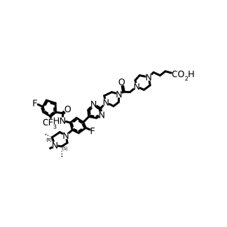 C[C@@H]1CN(c2cc(F)c(-c3cnc(N4CCN(C(=O)CN5CCN(CCCC(=O)O)CC5)CC4)nc3)cc2NC(=O)c2ccc(F)cc2C(F)(F)F)C[C@H](C)N1C